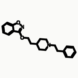 c1ccc(CCN2CCC(CCOc3noc4ccccc34)CC2)cc1